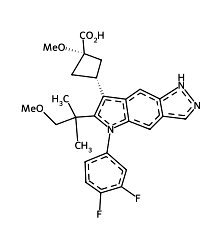 COCC(C)(C)c1c([C@H]2C[C@](OC)(C(=O)O)C2)c2cc3[nH]ncc3cc2n1-c1ccc(F)c(F)c1